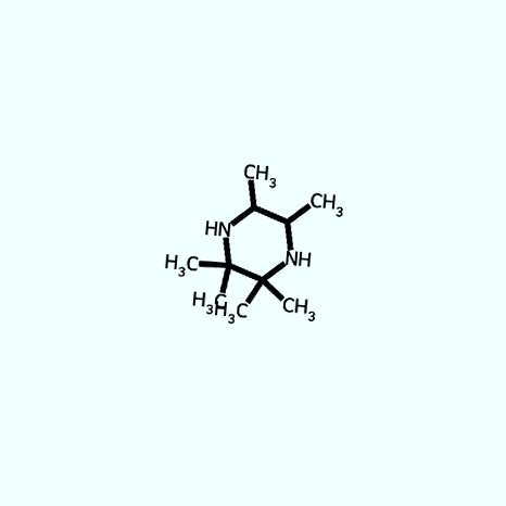 CC1NC(C)(C)C(C)(C)NC1C